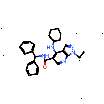 CCn1ncc2c(NC3CCCCC3)c(C(=O)NC(c3ccccc3)c3ccccc3)cnc21